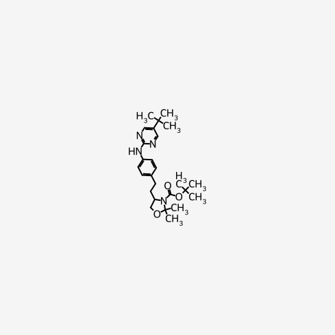 CC(C)(C)OC(=O)N1C(CCc2ccc(Nc3ncc(C(C)(C)C)cn3)cc2)COC1(C)C